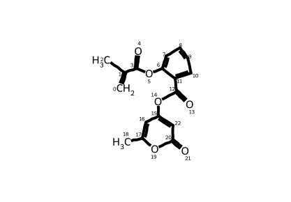 C=C(C)C(=O)Oc1ccccc1C(=O)Oc1cc(C)oc(=O)c1